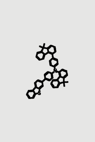 CC1(C)c2ccccc2-c2c(-c3ccc(N(c4ccc(-c5ccc6c(c5)sc5ccccc56)cc4)c4cccc5c4-c4ccccc4C5(C)C)cc3)cccc21